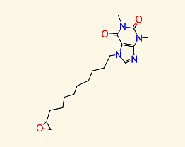 Cn1c(=O)c2c(ncn2CCCCCCCCCC2CO2)n(C)c1=O